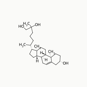 CC(CCCC(C)(O)CO)[C@H]1CC[C@H]2[C@@H]3CC=C4C[C@@H](O)CC[C@]4(C)[C@H]3CC[C@]12C